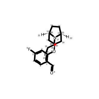 O=Cc1ccc(F)cc1O[C@H]1C[C@H]2CC[C@@H](C1)N2CCF